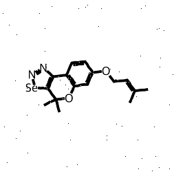 CC(C)=CCOc1ccc2c(c1)OC(C)(C)c1[se]nnc1-2